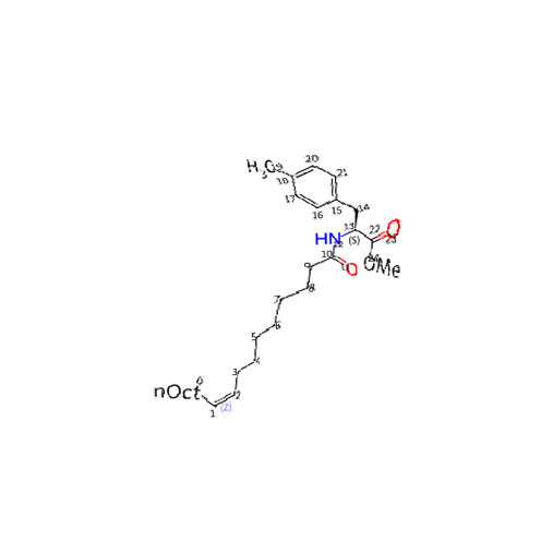 CCCCCCCC/C=C\CCCCCCCC(=O)N[C@@H](Cc1ccc(C)cc1)C(=O)OC